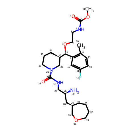 COC(=O)NCCO[C@@H](c1cc(F)ccc1C)[C@@H]1CCCN(C(=O)NC[C@@H](N)C[C@H]2CCCCOC2)C1